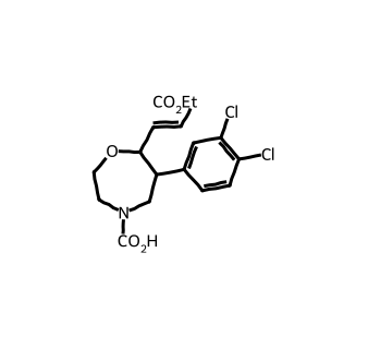 CCOC(=O)C=CC1OCCN(C(=O)O)CC1c1ccc(Cl)c(Cl)c1